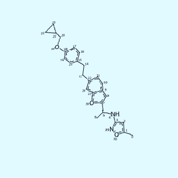 Cc1cc(NC(C)c2cc3ccc(CCc4ccc(OCC5CC5)cc4)cc3o2)no1